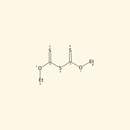 CCOC(=S)SC(=S)OCC